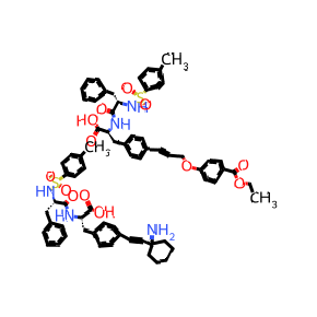 CCOC(=O)c1ccc(OCC#Cc2ccc(C[C@H](NC(=O)[C@H](Cc3ccccc3)NS(=O)(=O)c3ccc(C)cc3)C(=O)O)cc2)cc1.Cc1ccc(S(=O)(=O)N[C@@H](Cc2ccccc2)C(=O)N[C@@H](Cc2ccc(C#CC3(N)CCCCC3)cc2)C(=O)O)cc1